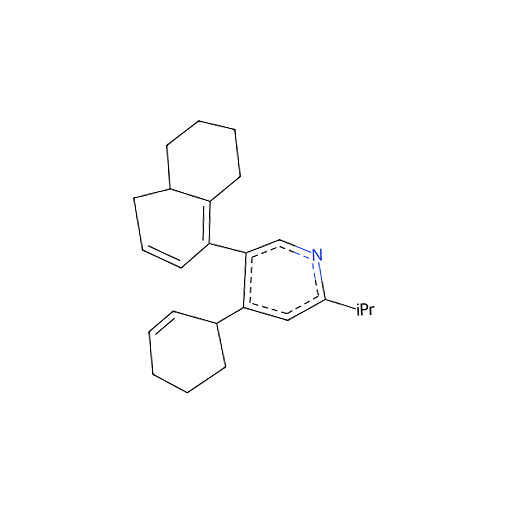 CC(C)c1cc(C2C=CCCC2)c(C2=C3CCCCC3CC=C2)cn1